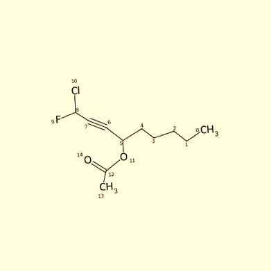 CCCCCC(C#CC(F)Cl)OC(C)=O